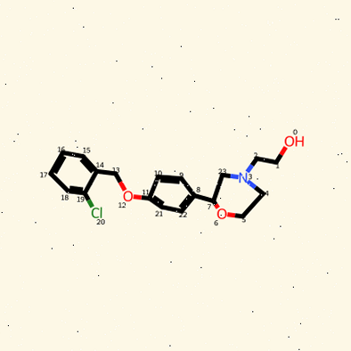 OCCN1CCOC(c2ccc(OCc3ccccc3Cl)cc2)C1